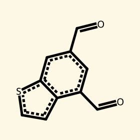 O=Cc1cc(C=O)c2ccsc2c1